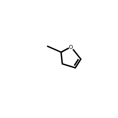 C[C]1CC=CO1